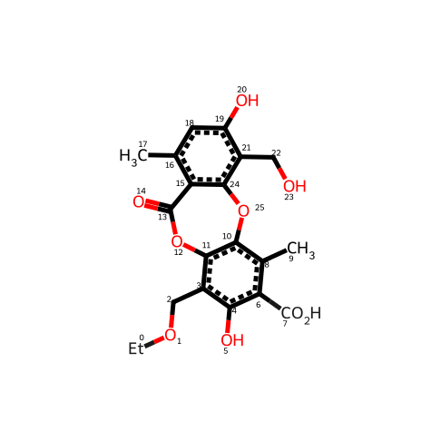 CCOCc1c(O)c(C(=O)O)c(C)c2c1OC(=O)c1c(C)cc(O)c(CO)c1O2